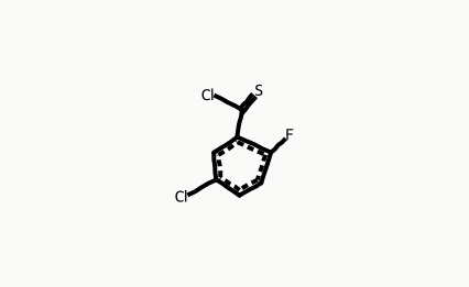 Fc1ccc(Cl)cc1C(=S)Cl